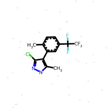 CC1=C(c2cc(C(F)(F)C(F)(F)F)ccc2C)C(Cl)=N[N]1